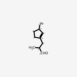 CC(C=O)CC1=CC(C(C)C)CC1